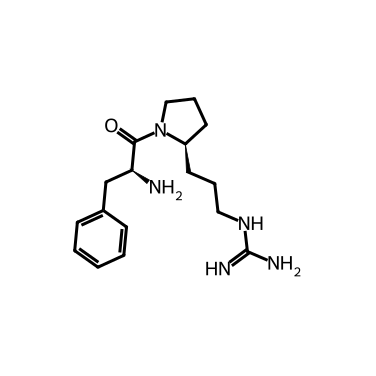 N=C(N)NCCC[C@@H]1CCCN1C(=O)[C@@H](N)Cc1ccccc1